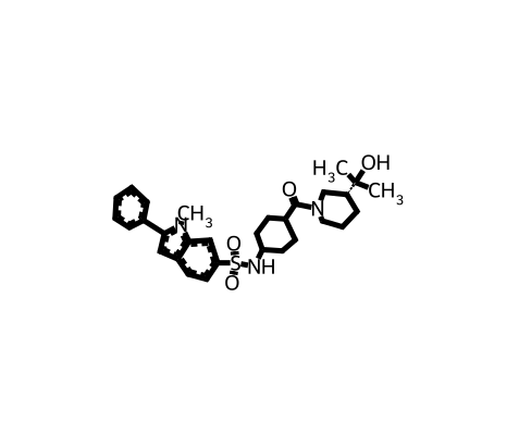 Cn1c(-c2ccccc2)cc2ccc(S(=O)(=O)NC3CCC(C(=O)N4CCC[C@@H](C(C)(C)O)C4)CC3)cc21